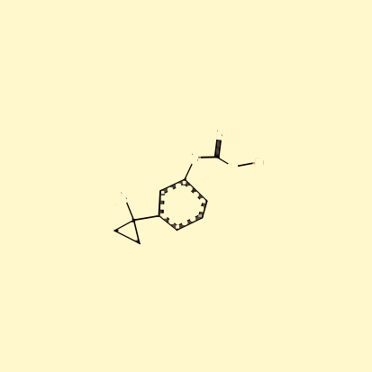 CCSC(=N)Nc1cccc(C2(N)CC2)c1